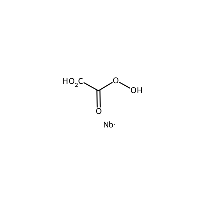 O=C(O)C(=O)OO.[Nb]